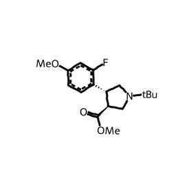 COC(=O)[C@@H]1CN(C(C)(C)C)C[C@H]1c1ccc(OC)cc1F